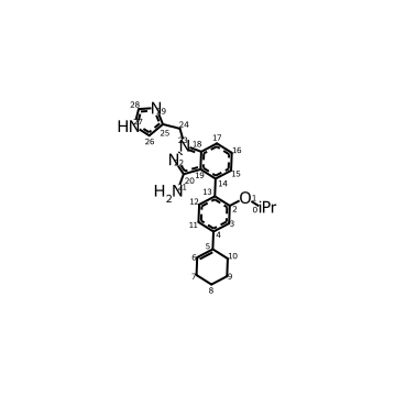 CC(C)Oc1cc(C2=CCCCC2)ccc1-c1cccc2c1c(N)nn2Cc1c[nH]cn1